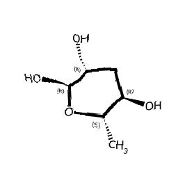 C[C@@H]1O[C@@H](O)[C@H](O)C[C@H]1O